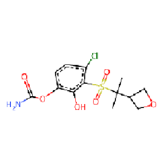 CC(C)(C1COC1)S(=O)(=O)c1c(Cl)ccc(OC(N)=O)c1O